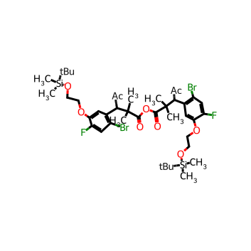 CC(=O)C(c1cc(OCCO[Si](C)(C)C(C)(C)C)c(F)cc1Br)C(C)(C)C(=O)OC(=O)C(C)(C)C(C(C)=O)c1cc(OCCO[Si](C)(C)C(C)(C)C)c(F)cc1Br